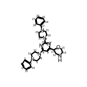 c1ccc(N2CCN(c3cc(C4CNCCO4)nc(N4CCN(c5ccccc5)CC4)n3)CC2)cc1